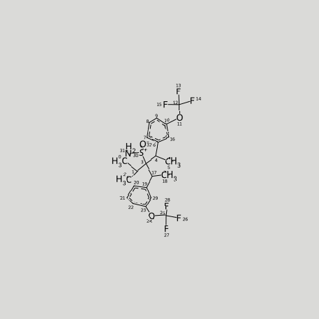 CC(C)C(C(C)c1cccc(OC(F)(F)F)c1)(C(C)c1cccc(OC(F)(F)F)c1)[S+](N)[O-]